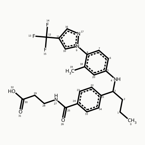 CCCC(Nc1ccc(-n2cc(C(F)(F)F)cn2)c(C)c1)c1ccc(C(=O)NCCC(=O)O)cc1